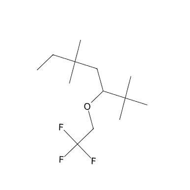 CCC(C)(C)CC(OCC(F)(F)F)C(C)(C)C